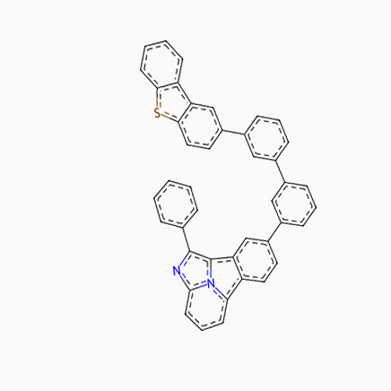 c1ccc(-c2nc3cccc4c5ccc(-c6cccc(-c7cccc(-c8ccc9sc%10ccccc%10c9c8)c7)c6)cc5c2n34)cc1